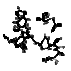 C[C@H](N)C(=O)O[C@@H](C)C(=O)N1CCC(CCn2c(Sc3cc4c(cc3Br)OCO4)nc3c(N)ncnc32)CC1.O=C(O)CCC(=O)O